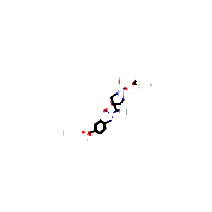 COC(=O)c1ccc(CN2C(=O)OC3(CCN(C(=O)OC(C)(C)C)CC3)C2C)cc1